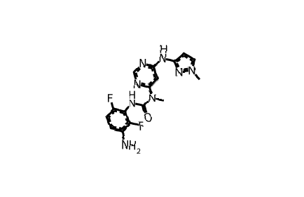 CN(C(=O)Nc1c(F)ccc(N)c1F)c1cc(Nc2ccn(C)n2)ncn1